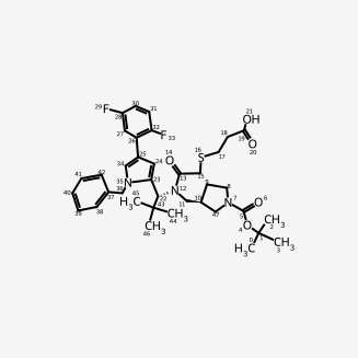 CC(C)(C)OC(=O)N1CC[C@H](CN(C(=O)CSCCC(=O)O)[C@@H](c2cc(-c3cc(F)ccc3F)cn2Cc2ccccc2)C(C)(C)C)C1